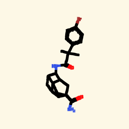 CC(C)(C(=O)NC1C2CC3CC1CC(C(N)=O)(C3)C2)c1ccc(Br)cc1